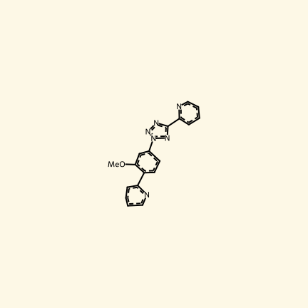 COc1cc(-n2nnc(-c3ccccn3)n2)ccc1-c1ccccn1